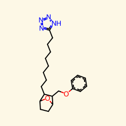 c1ccc(OCC2C3CCC(O3)C2CCCCCCCCc2nnn[nH]2)cc1